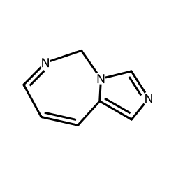 C1=Cc2cncn2CN=C1